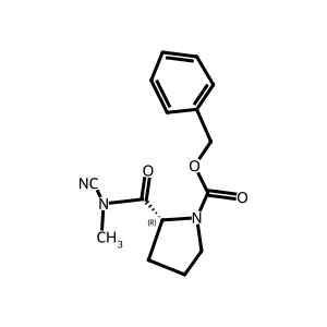 CN(C#N)C(=O)[C@H]1CCCN1C(=O)OCc1ccccc1